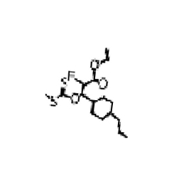 CCCC1CCC(C(OC(=S)SC)C(F)C(=O)OCC)CC1